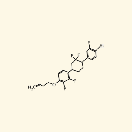 C=CCCOc1ccc(C2CCC(c3ccc(CC)c(F)c3)C(F)(F)C2)c(F)c1F